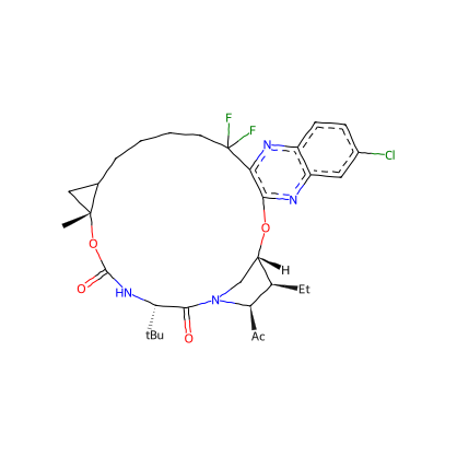 CC[C@@H]1[C@@H]2CN(C(=O)[C@H](C(C)(C)C)NC(=O)O[C@]3(C)CC3CCCCC(F)(F)c3nc4ccc(Cl)cc4nc3O2)[C@@H]1C(C)=O